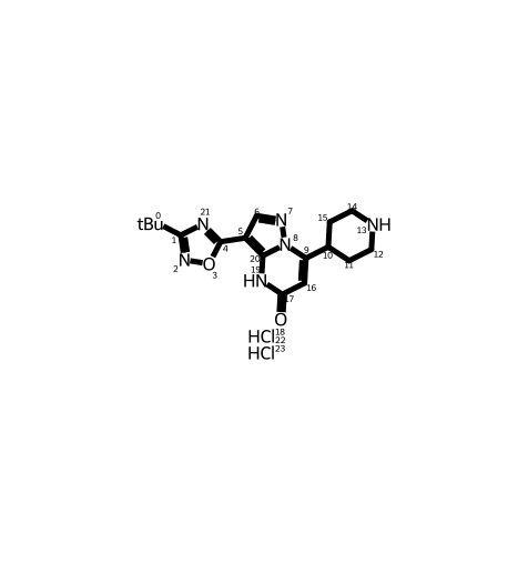 CC(C)(C)c1noc(-c2cnn3c(C4CCNCC4)cc(=O)[nH]c23)n1.Cl.Cl